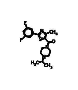 Cc1nc(-c2cc(F)cc(F)c2)sc1C(=O)N1CCN(C(C)C)CC1